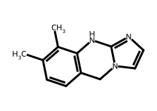 Cc1ccc2c(c1C)Nc1nccn1C2